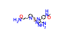 CC(=O)Nc1ccc(-c2nc(SCc3cccc(CC=CC(N)=O)n3)nc(N)c2C#N)cc1